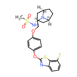 CS(=O)(=O)N[C@@H]1C[C@H]2CC[C@@H](C1)N2CCOc1ccc(Oc2nc3cccc(F)c3s2)cc1